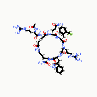 CC(=O)N[C@@H](CCCNC(=N)N)C(=O)N[C@H]1CCC(=O)NCCC[C@@H](C(N)=O)NC(=O)[C@H](Cc2c[nH]c3ccccc23)NC(=O)[C@H](CCCNC(=N)N)NC(=O)[C@@H](Cc2ccccc2C(F)(F)F)NC(=O)[C@H](CCC(N)=O)NC1=O